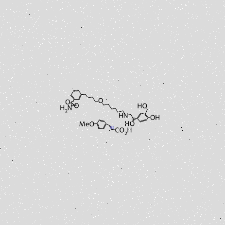 COc1ccc(/C=C/C(=O)O)cc1.NS(=O)(=O)c1cccc(CCCCOCCCCCCNC[C@H](O)c2ccc(O)c(CO)c2)c1